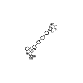 CCC(C(C)O)n1ncn(-c2ccc(N3CCN(c4ccc(-c5ccc(C(F)(F)C(O)(Cc6nnn[nH]6)c6ccccc6F)nc5)cc4)CC3)cc2)c1=O